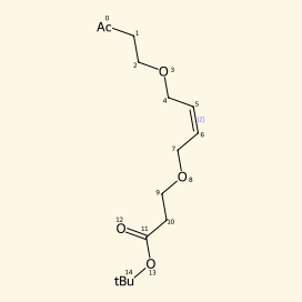 CC(=O)CCOC/C=C\COCCC(=O)OC(C)(C)C